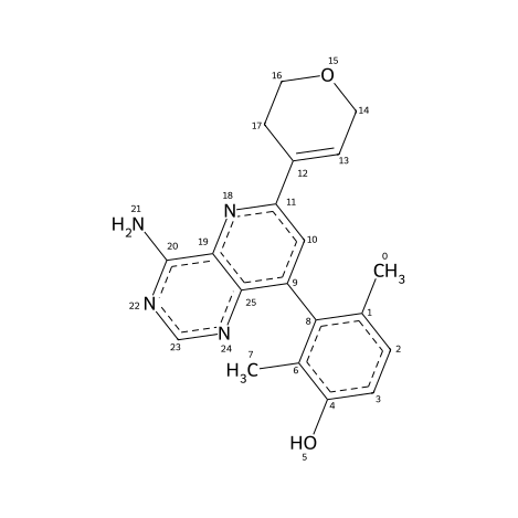 Cc1ccc(O)c(C)c1-c1cc(C2=CCOCC2)nc2c(N)ncnc12